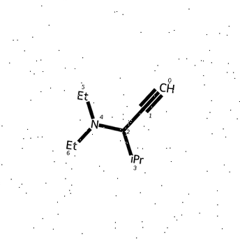 C#CC(C(C)C)N(CC)CC